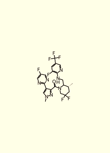 C[C@@H]1CC(F)(F)CN(C(=O)c2nn(C)cc2-c2ncc(F)cn2)C1CNc1ncc(C(F)(F)F)cc1F